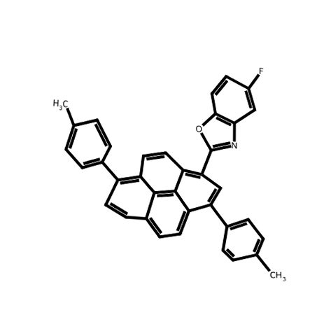 Cc1ccc(-c2ccc3ccc4c(-c5ccc(C)cc5)cc(-c5nc6cc(F)ccc6o5)c5ccc2c3c45)cc1